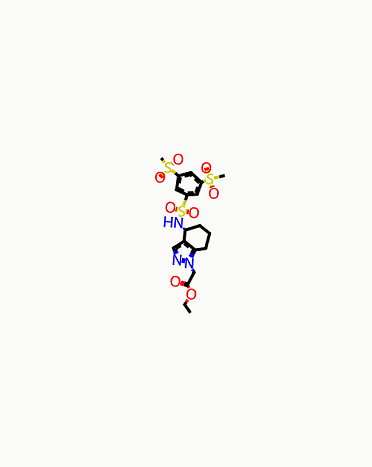 CCOC(=O)Cn1ncc2c1CCC[C@H]2NS(=O)(=O)c1cc(S(C)(=O)=O)cc(S(C)(=O)=O)c1